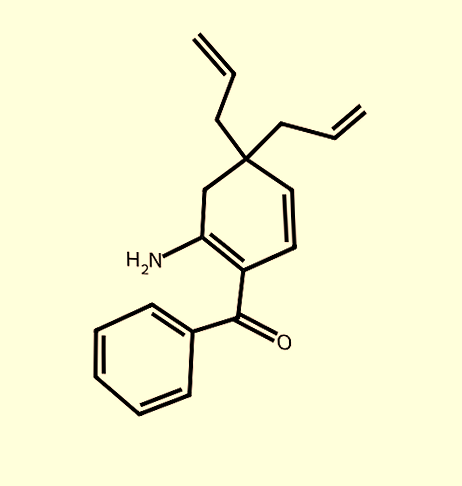 C=CCC1(CC=C)C=CC(C(=O)c2ccccc2)=C(N)C1